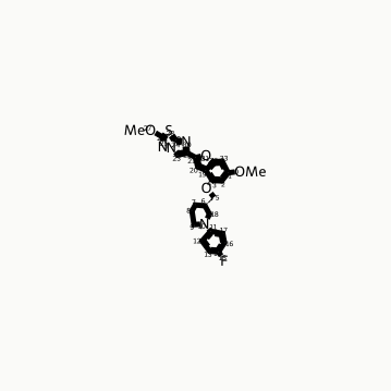 COc1cc(OC[C@H]2CCCN(c3ccc(F)cc3)C2)c2cc(-c3cn4nc(OC)sc4n3)oc2c1